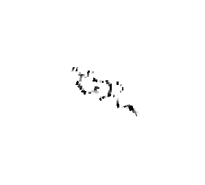 N#CCC1COc2cc3oc(=O)ccc3cc21